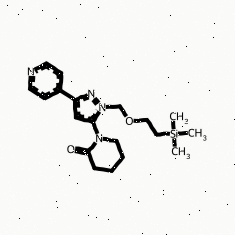 C[Si](C)(C)CCOCn1nc(-c2ccncc2)cc1N1CCCCC1=O